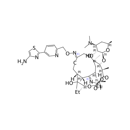 CCC(=O)/N=C1\[C@H](C)C[C@@]2(C)OC/C(=N/OCc3ccc(-c4nc(N)cs4)cn3)CC[C@H]([C@H]1C)C(C)(O)[C@@H](CC)OC(=O)[C@@](C)(F)C(=O)[C@H](C)[C@H]2O[C@@H]1O[C@H](C)C[C@H](N(C)C)[C@H]1O